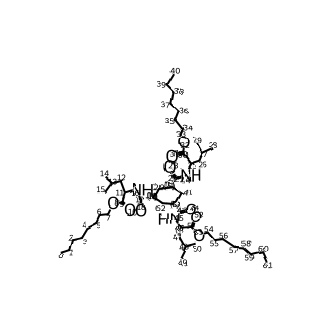 CCCCCCCCOC(=O)C(CC(C)C)NC(=O)[C@@H]1C[C@H](C(=O)NC(CC(C)C)C(=O)OCCCCCCCC)C[C@H](C(=O)N[C@@H](CC(C)C)C(=O)OCCCCCCCC)C1